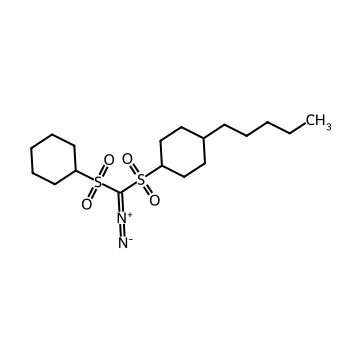 CCCCCC1CCC(S(=O)(=O)C(=[N+]=[N-])S(=O)(=O)C2CCCCC2)CC1